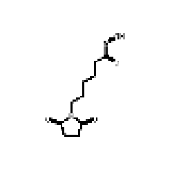 N=NC(=O)CCCCCN1C(=O)CCC1=O